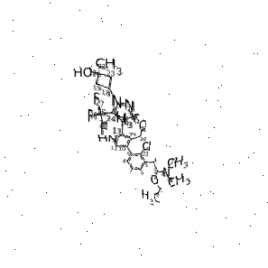 CCOC(Cc1cccc(-c2c[nH]c(-c3cnn([C@H]4C[C@@](C)(O)C4)c3C(F)(F)F)c2COC)c1Cl)N(C)C